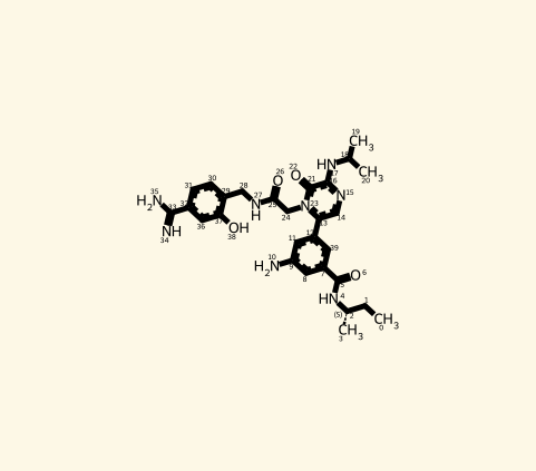 CC[C@H](C)NC(=O)c1cc(N)cc(-c2cnc(NC(C)C)c(=O)n2CC(=O)NCc2ccc(C(=N)N)cc2O)c1